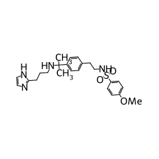 COc1ccc(S(=O)(=O)NCCc2ccc(C(C)(C)NCCCc3ncc[nH]3)cc2)cc1